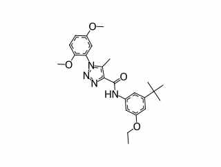 CCOc1cc(NC(=O)c2nnn(-c3cc(OC)ccc3OC)c2C)cc(C(C)(C)C)c1